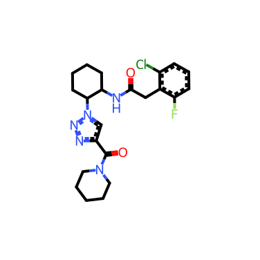 O=C(Cc1c(F)cccc1Cl)NC1CCCCC1n1cc(C(=O)N2CCCCC2)nn1